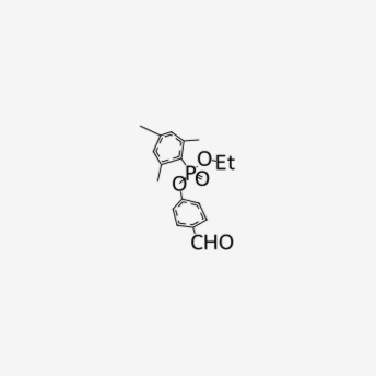 CCOP(=O)(Oc1ccc(C=O)cc1)c1c(C)cc(C)cc1C